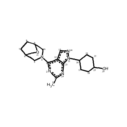 Cc1nc(N2CC3CCC(C2)O3)c2cnn(C3CCC(O)CC3)c2n1